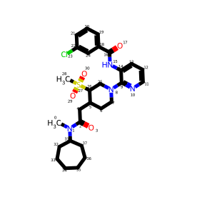 CN(C(=O)CC1CCN(c2ncccc2NC(=O)c2cccc(Cl)c2)CC1S(C)(=O)=O)C1CCCCCC1